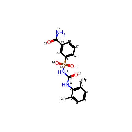 CC(C)c1cccc(C(C)C)c1NC(=O)NS(=O)(=O)c1cccc(C(N)=O)c1